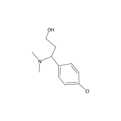 CN(C)C(CCO)c1ccc(Cl)cc1